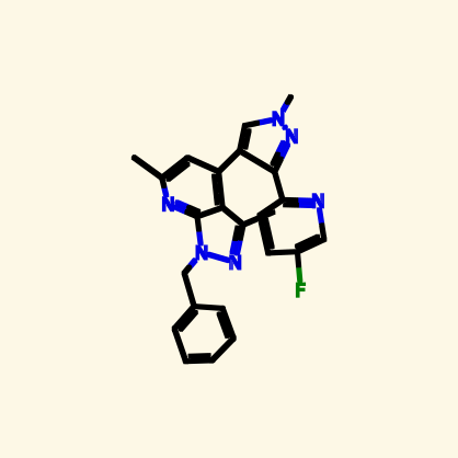 Cc1cc(-c2cn(C)nc2-c2ccc(F)cn2)c2c(C)nn(Cc3ccccc3)c2n1